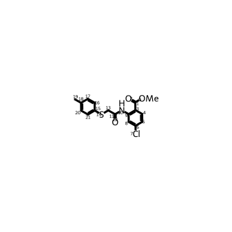 COC(=O)c1ccc(Cl)cc1NC(=O)CSc1ccc(C)cc1